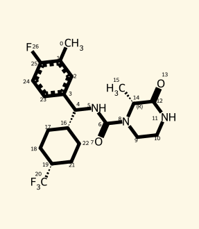 Cc1cc(C(NC(=O)N2CCNC(=O)[C@H]2C)[C@H]2CC[C@@H](C(F)(F)F)CC2)ccc1F